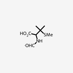 CSC(C)(C)C(N[C]=O)C(=O)O